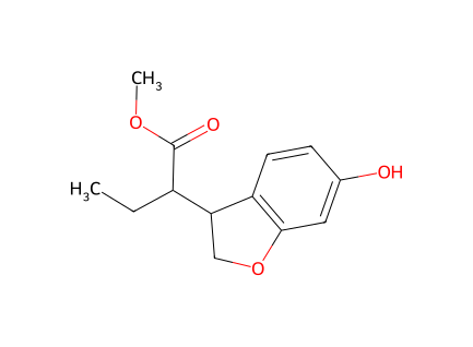 CCC(C(=O)OC)C1COc2cc(O)ccc21